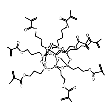 C=C(C)C(=O)OCCC[Si]12O[Si]3(CCCOC(=O)C(=C)C)O[Si]4(CCCOC(=O)C(=C)C)O[Si](CCCOC(=O)C(=C)C)(O1)O[Si]1(CCCOC(=O)C(=C)C)O[Si](CCCOC(=O)C(=C)C)(O2)O[Si](CCCOC(=O)C(=C)C)(O3)O[Si](CCCOC(=O)C(=C)C)(O4)O1